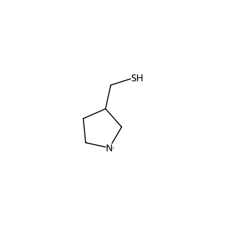 SCC1CC[N]C1